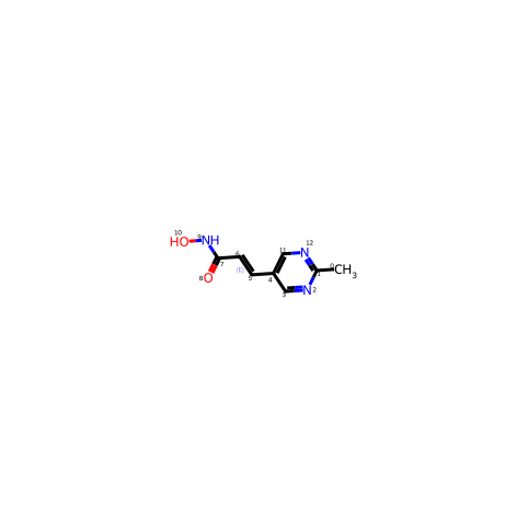 Cc1ncc(/C=C/C(=O)NO)cn1